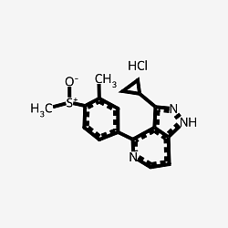 Cc1cc(-c2nccc3[nH]nc(C4CC4)c23)ccc1[S+](C)[O-].Cl